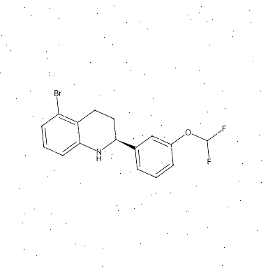 FC(F)Oc1cccc([C@@H]2CCc3c(Br)cccc3N2)c1